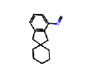 C=Nc1cccc2c1CC1(CCCCC1)C2